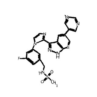 CS(=O)(=O)NCc1cc(F)cc(-n2ccnc2-c2n[nH]c3ncc(-c4cncnc4)cc23)c1